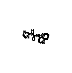 O=C(Nc1cnccn1)Nc1ccnc2cccnc12